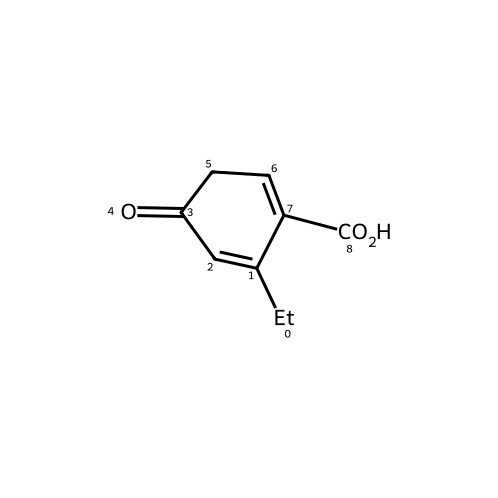 [CH2]CC1=CC(=O)CC=C1C(=O)O